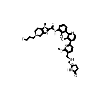 COc1nc(-c2ccnc(-c3cccc(NC(=O)c4nc5c(n4C)CCN(CCCF)C5)c3Cl)c2Cl)ccc1CNC[C@@H]1CCC(=O)N1